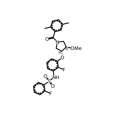 CO[C@@H]1CN(C(=O)c2cc(C)ccc2C)C[C@H]1Oc1cccc(NS(=O)(=O)c2ccccc2F)c1F